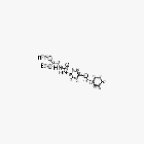 CCCOC(CNC(=O)Nc1ccc(OCc2ccccc2)cc1)OCC